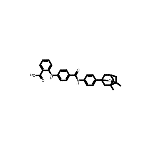 CC12CC3CC(c4ccc(NC(=O)c5ccc(Nc6ccccc6C(=O)O)cc5)cc4)(C1)CC2(C)C3